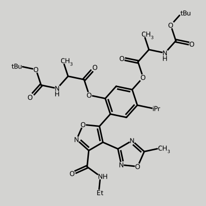 CCNC(=O)c1noc(-c2cc(C(C)C)c(OC(=O)C(C)NC(=O)OC(C)(C)C)cc2OC(=O)C(C)NC(=O)OC(C)(C)C)c1-c1noc(C)n1